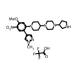 COc1cc(N2CCC(N3CCN(C4CCNC4)CC3)CC2)c(-c2cnn(C)c2)cc1[N+](=O)[O-].O=C(O)C(F)(F)F